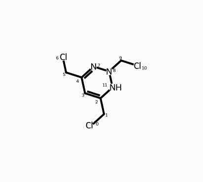 ClCC1=CC(CCl)=NN(CCl)N1